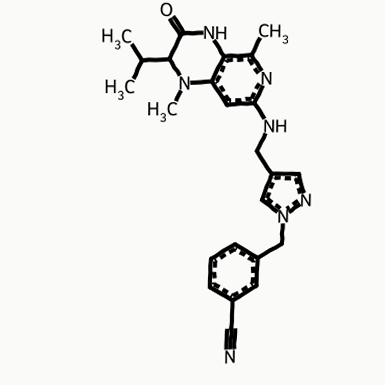 Cc1nc(NCc2cnn(Cc3cccc(C#N)c3)c2)cc2c1NC(=O)C(C(C)C)N2C